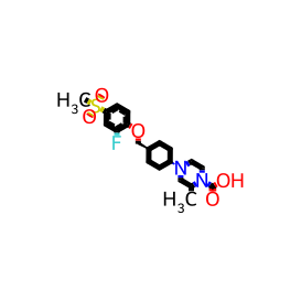 CC1CN([C@H]2CC[C@H](COc3ccc(S(C)(=O)=O)cc3F)CC2)CCN1C(=O)O